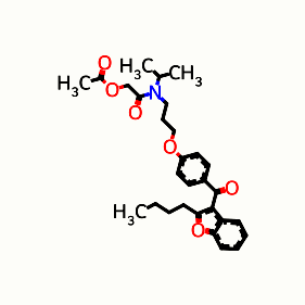 CCCCc1oc2ccccc2c1C(=O)c1ccc(OCCCN(C(=O)COC(C)=O)C(C)C)cc1